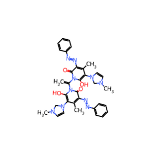 C=C(n1c(O)c(N2C=CN(C)C2)c(C)c(N=Nc2ccccc2)c1=O)n1c(O)c(N2C=CN(C)C2)c(C)c(N=Nc2ccccc2)c1=O